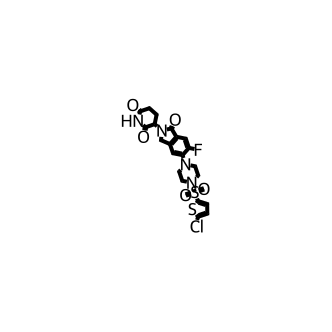 O=C1CCC(N2Cc3cc(N4CCN(S(=O)(=O)c5ccc(Cl)s5)CC4)c(F)cc3C2=O)C(=O)N1